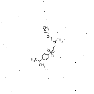 COCOCCN(C)CCOS(=O)(=O)c1ccc(C(C)C)cc1